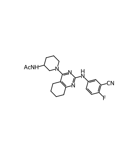 CC(=O)NC1CCCN(c2nc(Nc3ccc(F)c(C#N)c3)nc3c2CCCC3)C1